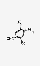 Cc1cc(Br)c(C=O)cc1CF